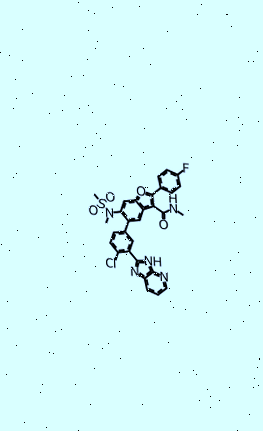 CNC(=O)c1c(-c2ccc(F)cc2)oc2cc(N(C)S(C)(=O)=O)c(-c3ccc(Cl)c(-c4nc5cccnc5[nH]4)c3)cc12